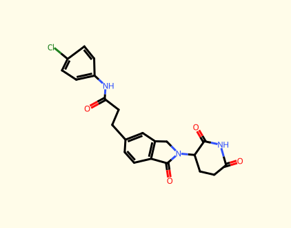 O=C1CCC(N2Cc3cc(CCC(=O)Nc4ccc(Cl)cc4)ccc3C2=O)C(=O)N1